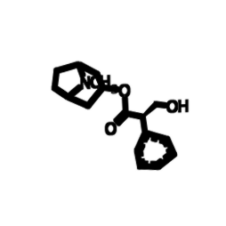 CN1C2CCC1CC(OC(=O)[C@@H](CO)c1ccccc1)C2